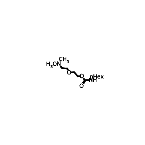 CCCCCCNC(=O)OCCOCCN(C)C